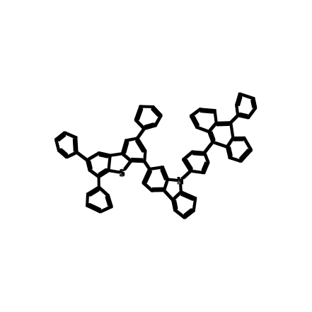 c1ccc(-c2cc(-c3ccccc3)c3sc4c(-c5ccc6c7ccccc7n(-c7ccc(-c8c9ccccc9c(-c9ccccc9)c9ccccc89)cc7)c6c5)cc(-c5ccccc5)cc4c3c2)cc1